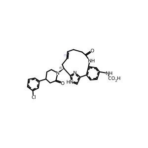 O=C(O)Nc1ccc2c(c1)NC(=O)CC/C=C/C[C@H](N1CCC(c3cccc(Cl)c3)CC1=O)c1nc-2c[nH]1